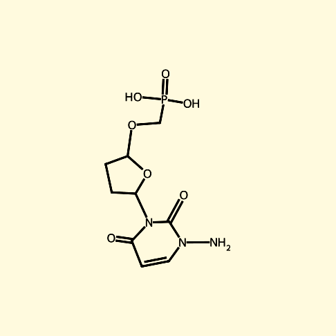 Nn1ccc(=O)n(C2CCC(OCP(=O)(O)O)O2)c1=O